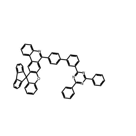 c1ccc(-c2nc(-c3ccccc3)nc(-c3cccc(-c4ccc(-c5nc6ccccc6c6cc7c(cc56)Oc5ccccc5C75c6ccccc6-c6ccccc65)cc4)c3)n2)cc1